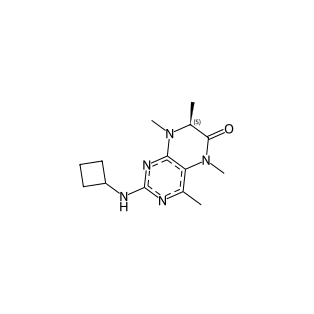 Cc1nc(NC2CCC2)nc2c1N(C)C(=O)[C@H](C)N2C